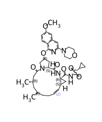 COc1ccc2c(O[C@@H]3C[C@H]4C(=O)N[C@]5(C(=O)NS(=O)(=O)C6CC6)C[C@H]5/C=C\CC[C@@H](C)C[C@@H](C)CC(=O)N4C3)nc(N3CCOCC3)cc2c1